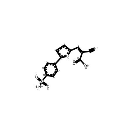 N#CC(=Cc1ccc(-c2ccc(S(N)(=O)=O)cc2)o1)C(=O)O